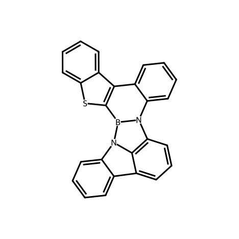 c1ccc2c(c1)-c1c(sc3ccccc13)B1N2c2cccc3c4ccccc4n1c23